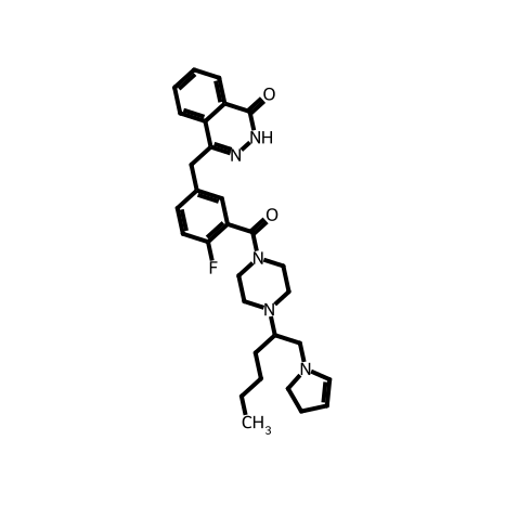 CCCCC(CN1C=CCC1)N1CCN(C(=O)c2cc(Cc3n[nH]c(=O)c4ccccc34)ccc2F)CC1